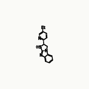 CCc1ccc(C2Cn3c(nc4ccccc43)[SH]2)nc1